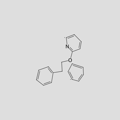 [c]1cccc(OCCc2ccccc2)n1.[c]1ccccc1